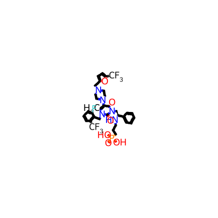 Cc1c(N2CCN(Cc3ccc(C(F)(F)F)o3)CC2)c(=O)n(C[C@H](NCCCP(=O)(O)O)c2ccccc2)c(=O)n1Cc1c(F)cccc1C(F)(F)F